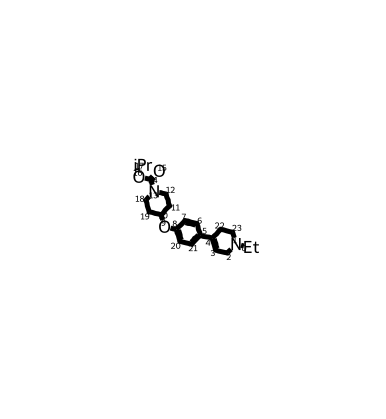 CCN1CC=C(c2ccc(OC3CCN(C(=O)OC(C)C)CC3)cc2)CC1